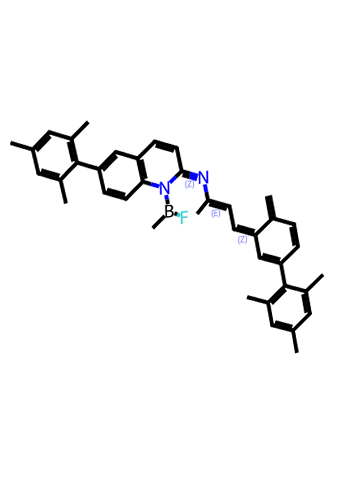 C=c1ccc(-c2c(C)cc(C)cc2C)c/c1=C/C=C(C)/N=c1/ccc2cc(-c3c(C)cc(C)cc3C)ccc2n1B(C)F